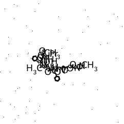 CC(C)C[C@H](NC(=O)[C@H](Cc1ccccc1)N1C(=O)[C@@H](NC(=O)[C@H](CCc2ccccc2)NC(=O)Cc2cc(COC(=O)CN3CCN(C)CC3)on2)CC1C)C(=O)C1(C)CO1